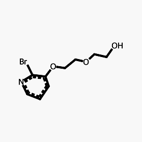 OCCOCCOc1cccnc1Br